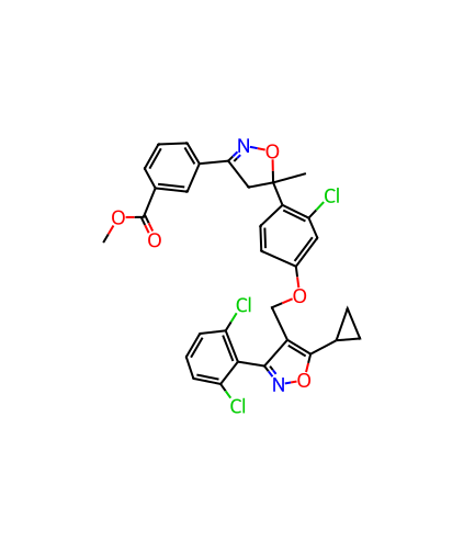 COC(=O)c1cccc(C2=NOC(C)(c3ccc(OCc4c(-c5c(Cl)cccc5Cl)noc4C4CC4)cc3Cl)C2)c1